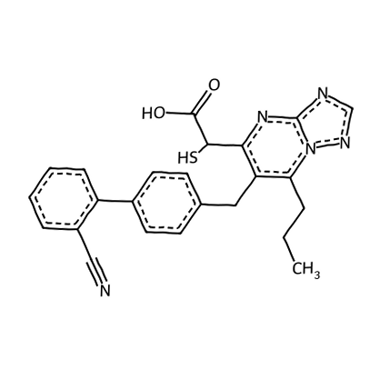 CCCc1c(Cc2ccc(-c3ccccc3C#N)cc2)c(C(S)C(=O)O)nc2ncnn12